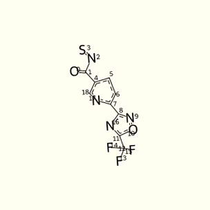 O=C(N=S)c1ccc(-c2noc(C(F)(F)F)n2)nc1